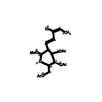 C/C=C(\C=C\C1C(OC(C)=O)[C@@H](OC(C)=O)C(COC(C)=O)O[C@H]1OC)CC